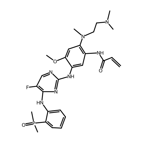 C=CC(=O)Nc1cc(Nc2ncc(F)c(Nc3ccccc3P(C)(C)=O)n2)c(OC)cc1N(C)CCN(C)C